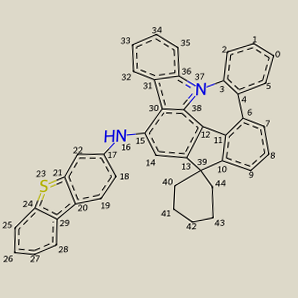 c1ccc2c(c1)-c1cccc3c1-c1c(cc(Nc4ccc5c(c4)sc4ccccc45)c4c5ccccc5n-2c14)C31CCCCC1